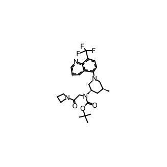 C[C@H]1C[C@@H](N(CC(=O)N2CCC2)C(=O)OC(C)(C)C)CN(c2ccc(C(F)(F)F)c3ncccc23)C1